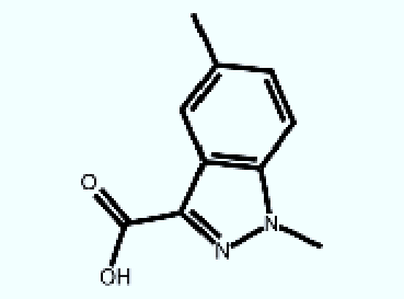 Cc1ccc2c(c1)c(C(=O)O)nn2C